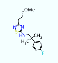 COCCCc1nsc(NCC(C)(C)c2ccc(F)cc2)n1